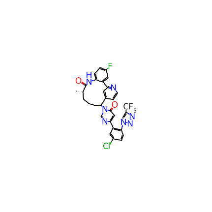 C[C@H]1CCC[C@H](n2cnc(-c3cc(Cl)ccc3-n3cc(C(F)(F)F)nn3)cc2=O)c2ccnc(c2)-c2cc(F)ccc2NC1=O